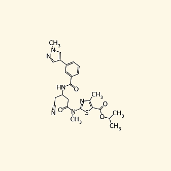 Cc1nc(N(C)C(=O)CC(CC#N)NC(=O)c2cccc(-c3cnn(C)c3)c2)sc1C(=O)OC(C)C